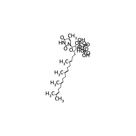 CC(C)=CCC/C(C)=C/CC/C(C)=C/CC/C(C)=C/CC[C@@H]1CC(OP(=O)(O)OP(=O)(O)OP(=O)(O)O)[C@H](n2cc(C)c(=O)[nH]c2=O)O1